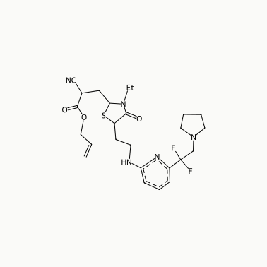 C=CCOC(=O)C(C#N)CC1SC(CCNc2cccc(C(F)(F)CN3CCCC3)n2)C(=O)N1CC